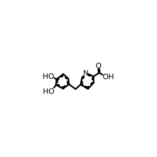 O=C(O)c1ccc(Cc2ccc(O)c(O)c2)cn1